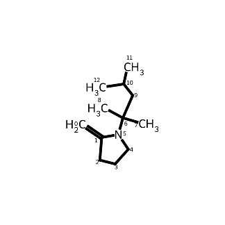 C=C1CCCN1C(C)(C)CC(C)C